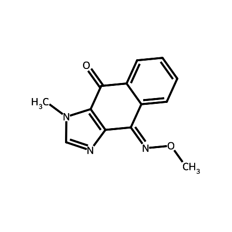 CO/N=C1\c2ccccc2C(=O)c2c1ncn2C